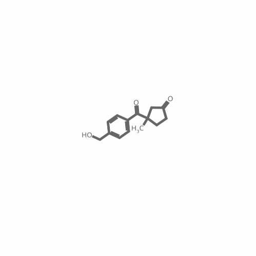 CC1(C(=O)c2ccc(CO)cc2)CCC(=O)C1